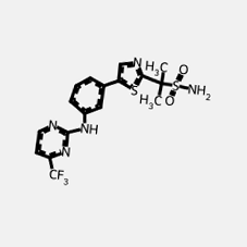 CC(C)(c1ncc(-c2cccc(Nc3nccc(C(F)(F)F)n3)c2)s1)S(N)(=O)=O